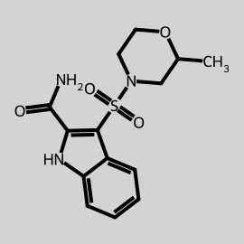 CC1CN(S(=O)(=O)c2c(C(N)=O)[nH]c3ccccc23)CCO1